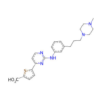 CN1CCN(CCCc2cccc(Nc3nccc(-c4ccc(C(=O)O)s4)n3)c2)CC1